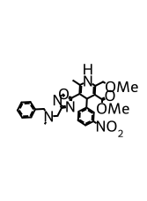 COCC1=C(C(=O)OC)C(c2cccc([N+](=O)[O-])c2)C(c2nc(CN(C)Cc3ccccc3)no2)=C(C)N1